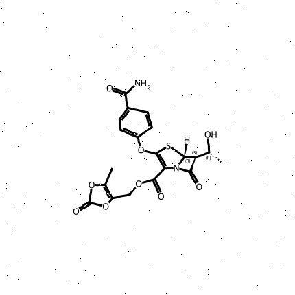 Cc1oc(=O)oc1COC(=O)C1=C(Oc2ccc(C(N)=O)cc2)S[C@@H]2[C@@H]([C@@H](C)O)C(=O)N12